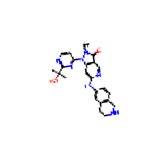 CC(C)n1c(=O)c2cnc(Nc3ccc4c(c3)CCNC4)cc2n1-c1ccnc(C(C)(C)O)n1